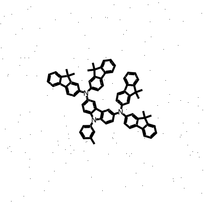 Cc1cccc(-n2c3ccc(N(c4ccc5c(c4)C(C)(C)c4ccccc4-5)c4ccc5c(c4)C(C)(C)c4ccccc4-5)cc3c3cc(N(c4ccc5c(c4)C(C)(C)c4ccccc4-5)c4ccc5c(c4)C(C)(C)c4ccccc4-5)ccc32)c1